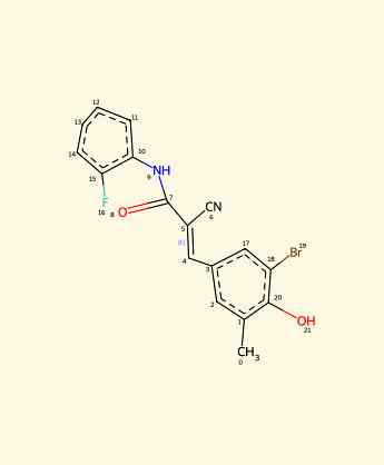 Cc1cc(/C=C(\C#N)C(=O)Nc2ccccc2F)cc(Br)c1O